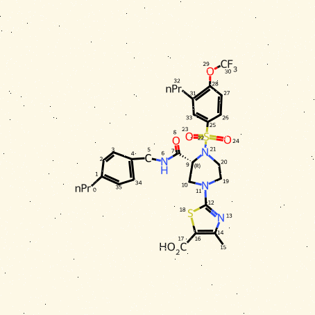 CCCc1ccc(CNC(=O)[C@H]2CN(c3nc(C)c(C(=O)O)s3)CCN2S(=O)(=O)c2ccc(OC(F)(F)F)c(CCC)c2)cc1